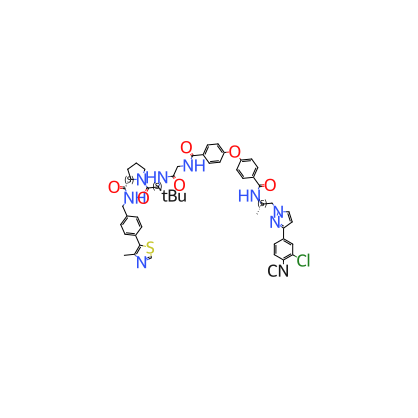 Cc1ncsc1-c1ccc(CNC(=O)[C@@H]2CCCN2C(=O)[C@@H](NC(=O)CNC(=O)c2ccc(Oc3ccc(C(=O)N[C@@H](C)Cn4ccc(-c5ccc(C#N)c(Cl)c5)n4)cc3)cc2)C(C)(C)C)cc1